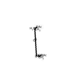 CC(=O)OCC[N+](C)(C)CCCCCCCCCCCOC(=O)CCCCCCCCCCCCCCCCC(=O)OC[N+](C)(C)CCOC(C)=O